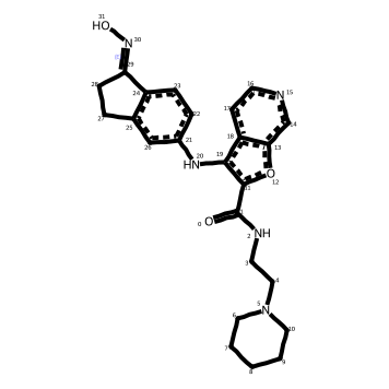 O=C(NCCN1CCCCC1)c1oc2cnccc2c1Nc1ccc2c(c1)CC/C2=N\O